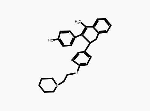 CC1=C(c2ccc(O)cc2)C(c2ccc(OCCN3CCCCC3)cc2)Cc2ccccc21